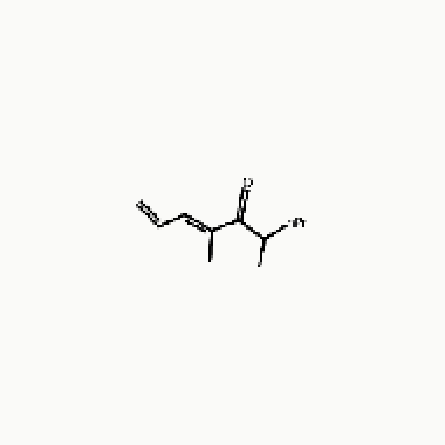 C=C/C=C(\C)C(=O)C(C)CCC